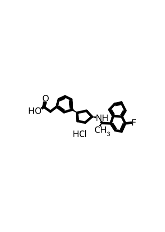 C[C@@H](N[C@H]1CC[C@@H](c2cccc(CC(=O)O)c2)C1)c1ccc(F)c2ccccc12.Cl